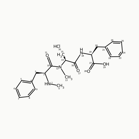 CN[C@@H](Cc1ccccc1)C(=O)N(C)[C@@H](C)C(=O)N[C@@H](Cc1ccccc1)C(=O)O.Cl